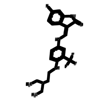 CCN(CC)CCNc1ccc(N/C=C2/C(=O)Nc3cc(F)ccc32)cc1C(F)(F)F